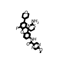 COc1cnc(C(=O)Nc2ccc3c(c2)C2(CCSC(N)=N2)c2cc(C4=CCOCC4)cc(F)c2O3)cn1